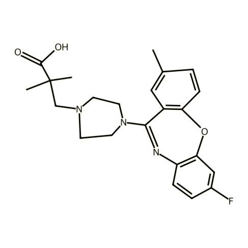 Cc1ccc2c(c1)C(N1CCN(CC(C)(C)C(=O)O)CC1)=Nc1ccc(F)cc1O2